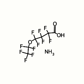 N.O=C(O)C(F)(F)C(F)(F)C(F)(F)OC(F)(F)C(F)(F)F